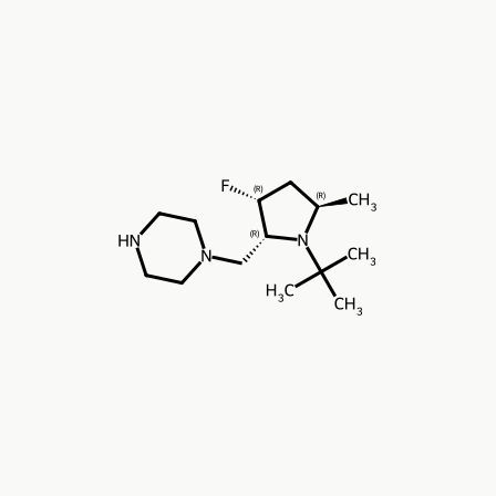 C[C@@H]1C[C@@H](F)[C@@H](CN2CCNCC2)N1C(C)(C)C